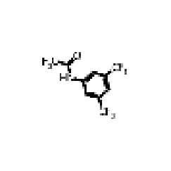 O=C(Nc1cc(C(F)(F)F)cc(C(F)(F)F)c1)C(F)(F)F